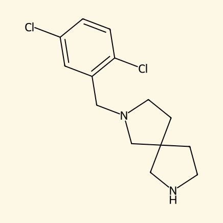 Clc1ccc(Cl)c(CN2CCC3(CCNC3)C2)c1